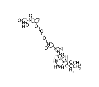 CC(C)(C)OC(=O)N[C@H]1C[C@@H]2C[C@@H]2C[C@H]2CC[C@@H](C(=O)N3C[C@@H](c4ccn(CCOCCOCCOc5cccc6c5CN(C5CCC(=O)NC5=O)C6=O)c(=O)c4)CC34CC4)N2C1=O